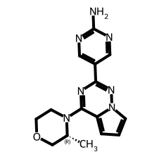 C[C@@H]1COCCN1c1nc(-c2cnc(N)nc2)nn2cccc12